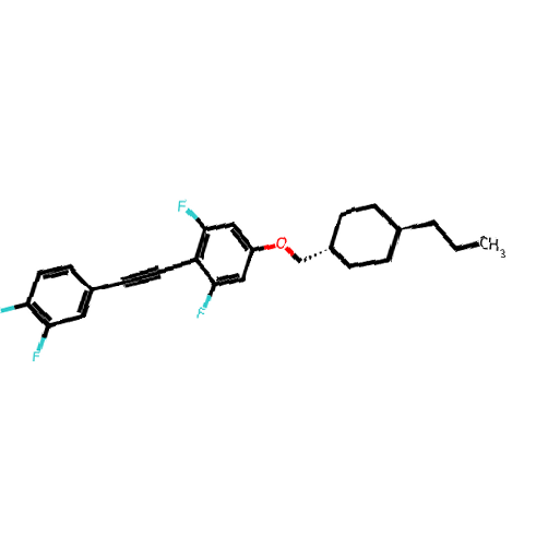 CCC[C@H]1CC[C@H](COc2cc(F)c(C#Cc3ccc(F)c(F)c3)c(F)c2)CC1